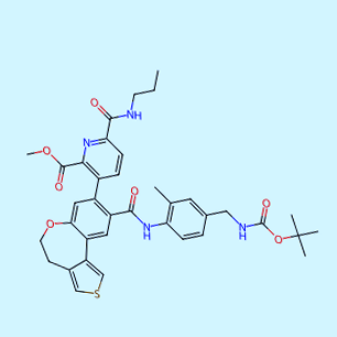 CCCNC(=O)c1ccc(-c2cc3c(cc2C(=O)Nc2ccc(CNC(=O)OC(C)(C)C)cc2C)-c2cscc2CCO3)c(C(=O)OC)n1